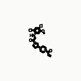 C=CC(=O)N1CCN(C2CCN(C(=O)CNc3cc(OC)c(Cl)cc3Cl)C2)CC1